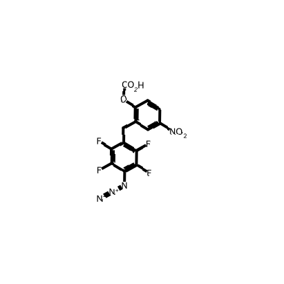 [N-]=[N+]=Nc1c(F)c(F)c(Cc2cc([N+](=O)[O-])ccc2OC(=O)O)c(F)c1F